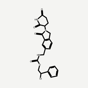 CCC(COC(=O)NCc1ccc2c(c1)C(=O)N(C1CCC(=O)NC1=O)C2)c1ccccc1